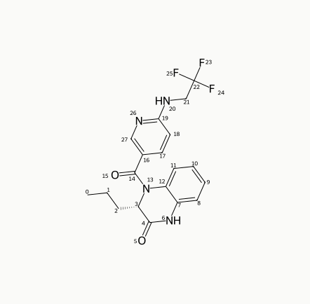 CCC[C@H]1C(=O)Nc2ccccc2N1C(=O)c1ccc(NCC(F)(F)F)nc1